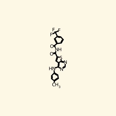 Cc1ccc(Nc2ncnc3sc(C(=O)NC(=O)c4cccc(C(F)(F)F)c4)cc23)cc1